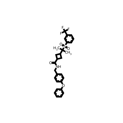 CC(C)(C1CC(C(=O)NCc2ccc(Oc3ccccc3)cc2)C1)S(=O)(=O)c1cccc(C(F)(F)F)c1